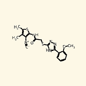 [C-]#[N+]c1c(NC(=O)CSc2nnc(-c3ccccc3OC)[nH]2)sc(C)c1C